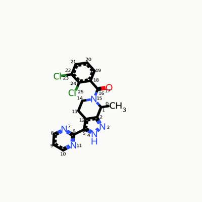 CC1c2n[nH]c(-c3ncccn3)c2CCN1C(=O)c1cccc(Cl)c1Cl